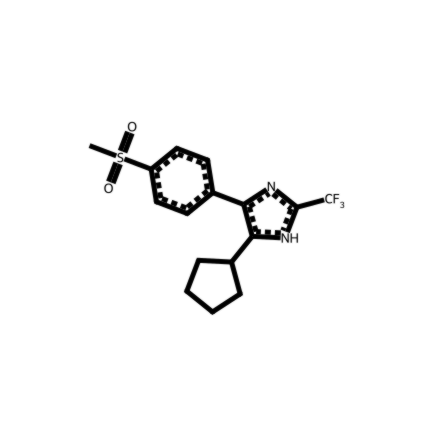 CS(=O)(=O)c1ccc(-c2nc(C(F)(F)F)[nH]c2C2CCCC2)cc1